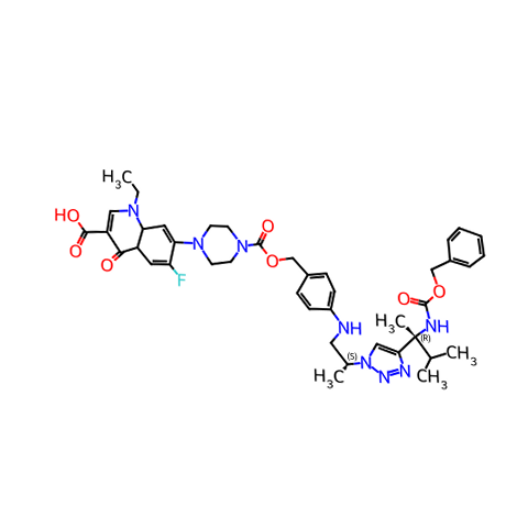 CCN1C=C(C(=O)O)C(=O)C2C=C(F)C(N3CCN(C(=O)OCc4ccc(NC[C@H](C)n5cc([C@](C)(NC(=O)OCc6ccccc6)C(C)C)nn5)cc4)CC3)=CC21